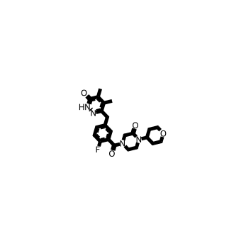 Cc1c(Cc2ccc(F)c(C(=O)N3CCN(C4CCOCC4)C(=O)C3)c2)n[nH]c(=O)c1C